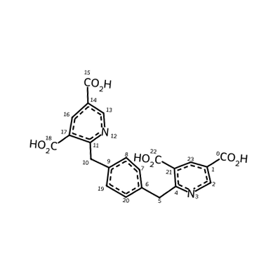 O=C(O)c1cnc(Cc2ccc(Cc3ncc(C(=O)O)cc3C(=O)O)cc2)c(C(=O)O)c1